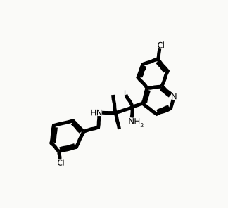 CC(C)(NCc1cccc(Cl)c1)C(N)(I)c1ccnc2cc(Cl)ccc12